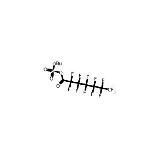 CCCCS(=O)(=O)OC(=O)C(F)(F)C(F)(F)C(F)(F)C(F)(F)C(F)(F)C(F)(F)F